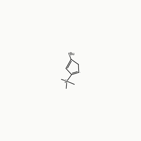 CC(C)(C)C1=CC([Si](C)(C)C)=[C]C1